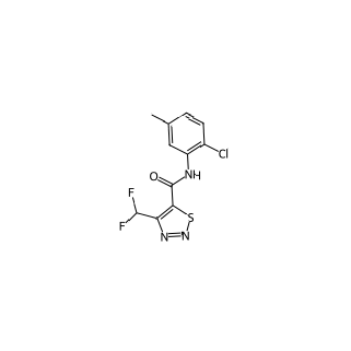 Cc1ccc(Cl)c(NC(=O)c2snnc2C(F)F)c1